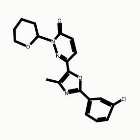 Cc1nc(-c2cccc(Cl)c2)oc1-c1ccc(=O)n(C2CCCCO2)n1